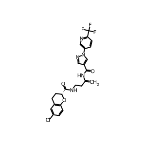 C=C(CCNC(=O)[C@H]1CCc2cc(Cl)ccc2O1)NC(=O)c1cnn(-c2ccc(C(F)(F)F)nc2)c1